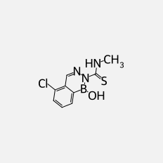 CNC(=S)N1N=Cc2c(Cl)cccc2B1O